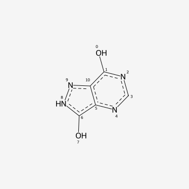 Oc1ncnc2c(O)[nH]nc12